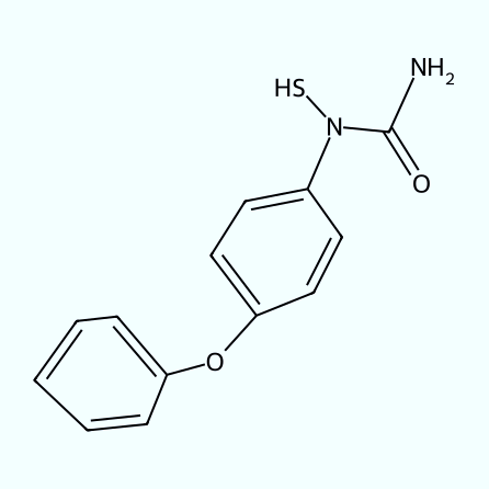 NC(=O)N(S)c1ccc(Oc2ccccc2)cc1